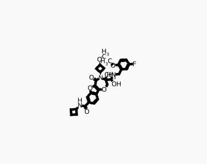 COc1ccc(F)cc1CNC(O)C1(C)COc2c(oc3cc(C(=O)NC4CCC4)ccc23)C(=O)N1[C@H]1C[C@@H](OC)C1